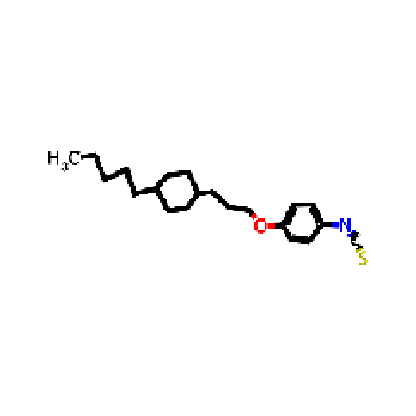 CCCCCC1CCC(CCCOc2ccc(N=C=S)cc2)CC1